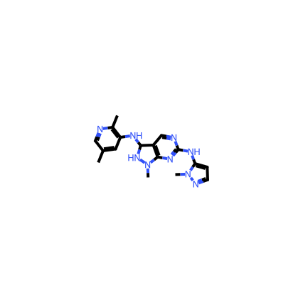 Cc1cnc(C)c(NC2NN(C)c3nc(Nc4ccnn4C)ncc32)c1